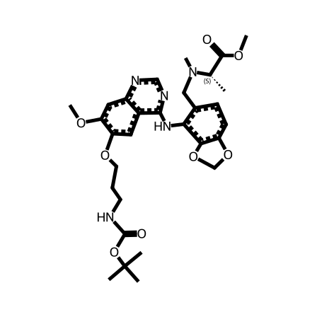 COC(=O)[C@H](C)N(C)Cc1ccc2c(c1Nc1ncnc3cc(OC)c(OCCCNC(=O)OC(C)(C)C)cc13)OCO2